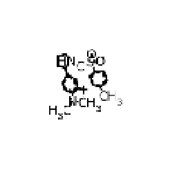 CN(C)c1ccc(C2CCCN2)cc1F.Cc1ccc(S(=O)(=O)Cl)cc1